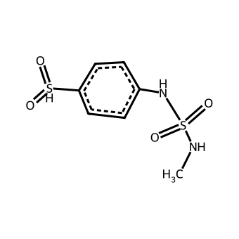 CNS(=O)(=O)Nc1ccc([SH](=O)=O)cc1